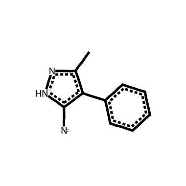 Cc1n[nH]c([N])c1-c1ccccc1